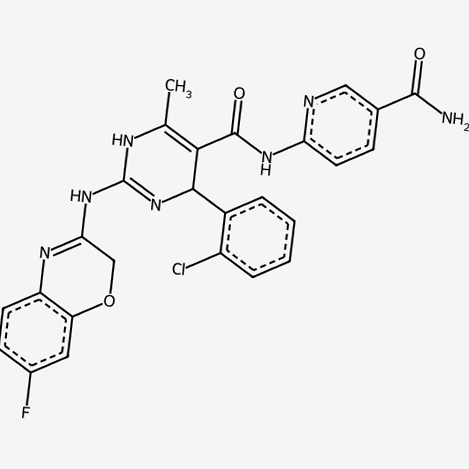 CC1=C(C(=O)Nc2ccc(C(N)=O)cn2)C(c2ccccc2Cl)N=C(NC2=Nc3ccc(F)cc3OC2)N1